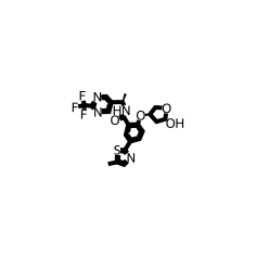 Cc1cnc(-c2ccc(O[C@H]3CO[C@H](O)C3)c(C(=O)N[C@H](C)c3cnc(C(F)(F)F)nc3)c2)s1